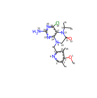 COc1c(C)cnc(CN2CC(=O)N(C(C)C)c3c(Cl)nc(N)nc32)c1C